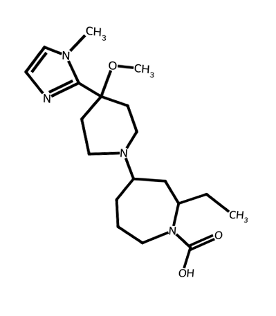 CCC1CC(N2CCC(OC)(c3nccn3C)CC2)CCCN1C(=O)O